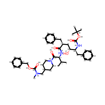 CC(C)[C@H](NC(=O)[C@@H](Cc1ccccc1)C[C@@H](O)[C@H](Cc1ccccc1)NC(=O)OC(C)(C)C)C(=O)N1CCC(CN(C)C(=O)OCc2ccccc2)CC1